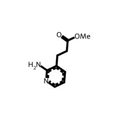 COC(=O)CCc1cccnc1N